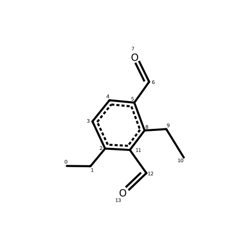 CCc1ccc(C=O)c(CC)c1C=O